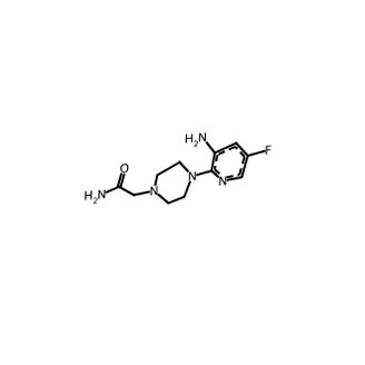 NC(=O)CN1CCN(c2ncc(F)cc2N)CC1